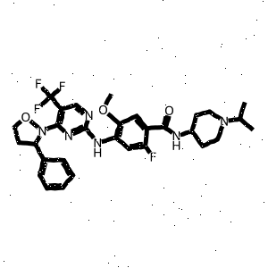 COc1cc(C(=O)NC2CCN(C(C)C)CC2)c(F)cc1Nc1ncc(C(F)(F)F)c(N2OCCC2c2ccccc2)n1